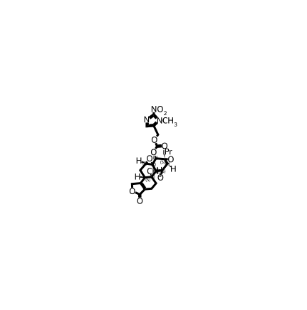 CC(C)[C@]12O[C@H]1[C@@H]1O[C@]13[C@]1(O[C@H]1C[C@H]1C4=C(CC[C@@]13C)C(=O)OC4)[C@@H]2OC(=O)OCc1cnc([N+](=O)[O-])n1C